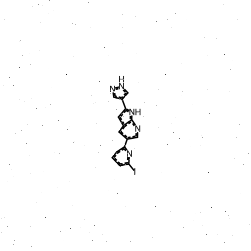 Ic1cccc(-c2cnc3[nH]c(-c4cn[nH]c4)cc3c2)n1